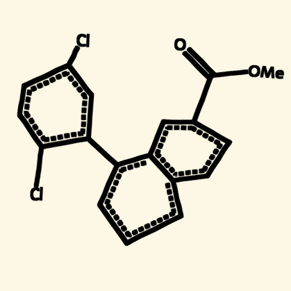 COC(=O)c1ccc2cccc(-c3cc(Cl)ccc3Cl)c2c1